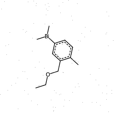 CCOCc1c[c]([Bi]([CH3])[CH3])ccc1C